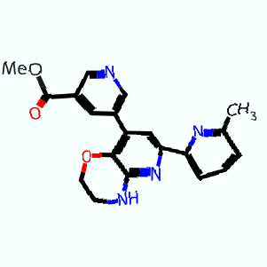 COC(=O)c1cncc(-c2cc(-c3cccc(C)n3)nc3c2OCCN3)c1